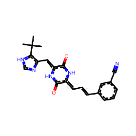 CC(C)(C)c1[nH]cnc1/C=c1\[nH]c(=O)/c(=C/C=C/c2cccc(C#N)c2)[nH]c1=O